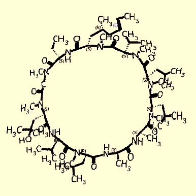 C/C=C/C[C@@H](C)C[C@H]1C(=O)N[C@@H](CC)C(=O)N(C)CC(=O)N(C)[C@@H](CC(C)(C)O)C(=O)N[C@H](C(C)C)C(=O)N(C)[C@H](CC(C)C)C(=O)N[C@H](C)C(=O)N[C@@H](C)C(=O)N(C)[C@@H](CC(C)C)C(=O)N(C)[C@@H](CC(C)C)C(=O)N(C)[C@@H](C(C)C)C(=O)N1C